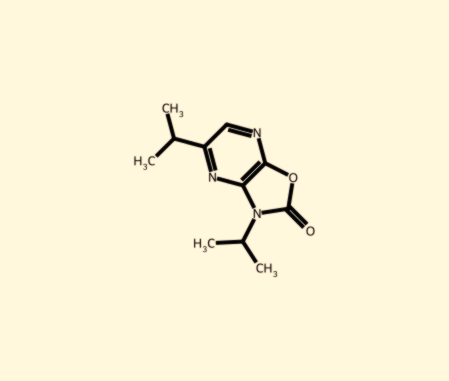 CC(C)c1cnc2oc(=O)n(C(C)C)c2n1